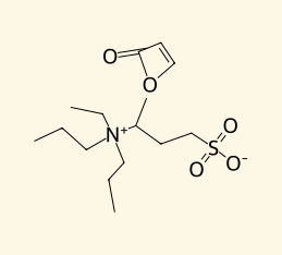 CCC[N+](CC)(CCC)C(C)CCS(=O)(=O)[O-].O=C1C=CO1